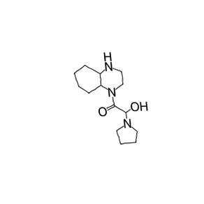 O=C(C(O)N1CCCC1)N1CCNC2CCCCC21